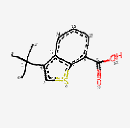 CC(C)(C)c1csc2c(C(=O)O)cccc12